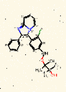 CC(C)(O)C(C)(C)OBc1ccc(C2C(c3ccccc3)N=C3C=CC=CN32)c(Cl)c1